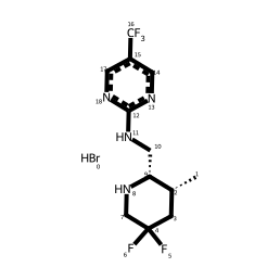 Br.C[C@@H]1CC(F)(F)CN[C@@H]1CNc1ncc(C(F)(F)F)cn1